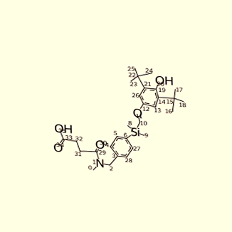 CN(Cc1ccc([Si](C)(C)COc2cc(C(C)(C)C)c(O)c(C(C)(C)C)c2)cc1)C(=O)CCC(=O)O